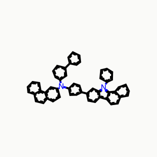 c1ccc(-c2cccc(N(c3ccc(-c4ccc5c6ccc7ccccc7c6n(-c6ccccc6)c5c4)cc3)c3ccc4ccc5ccccc5c4c3)c2)cc1